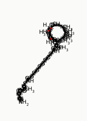 CO[C@H]1C[C@@H]2CC[C@@H](C)[C@@](O)(O2)C(=O)C(=O)N2CCCC[C@H]2C(=O)O[C@H]([C@H](C)C[C@@H]2CC[C@@H](OC(=O)NCCOCCOCCOCCOCCOCCOCCOCCOCCC(=O)NCCSc3ccc(C(=O)N4CCOc5ccc(-c6ccc(N)nc6)cc5C4)c(C)c3)[C@H](OC)C2)C[C@@H](OC)[C@H](C)/C=C(\C)[C@@H](O)[C@@H](O)C(=O)[C@H](C)C[C@H](C)/C=C/C=C/C=C/1C